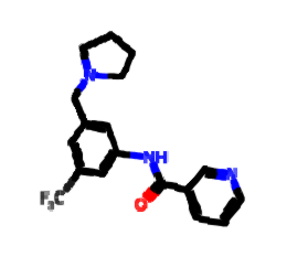 O=C(Nc1cc(CN2CCCC2)cc(C(F)(F)F)c1)c1cccnc1